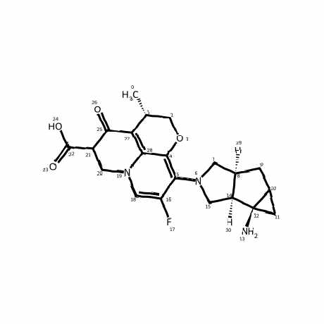 C[C@@H]1COC2=C(N3C[C@H]4CC5C[C@]5(N)[C@H]4C3)C(F)=CN3CC(C(=O)O)C(=O)C1=C23